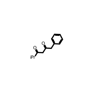 CC(C)C(=O)CC(=O)Cc1ccccc1